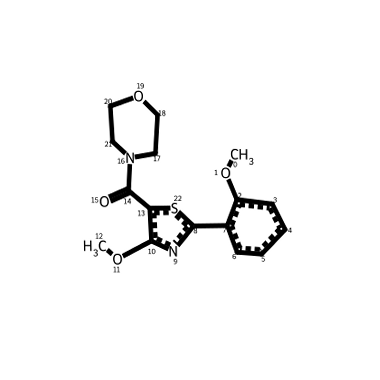 COc1ccccc1-c1nc(OC)c(C(=O)N2CCOCC2)s1